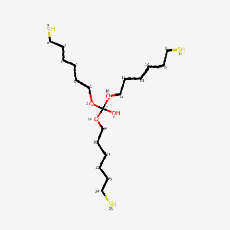 OC(OCCCCCCS)(OCCCCCCS)OCCCCCCS